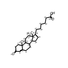 CC12CCC(=O)C=C1CCC1C2CCC2(C)C(CCCCCC(=O)O)CCC12